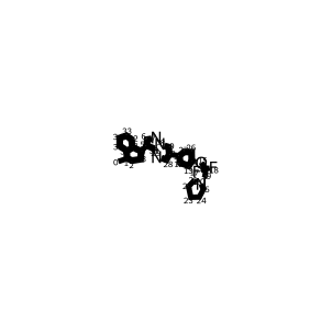 Cc1ccc(-c2cnn3cc(-c4ccc(OC(F)(F)CN5CCCCC5)cc4)cnc23)c2ccccc12